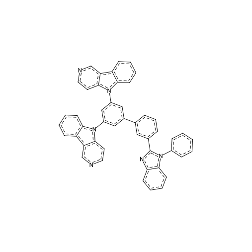 c1ccc(-n2c(-c3cccc(-c4cc(-n5c6ccccc6c6cnccc65)cc(-n5c6ccccc6c6cnccc65)c4)c3)nc3ccccc32)cc1